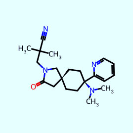 CN(C)[C@]1(c2ccccn2)CC[C@@]2(CC1)CC(=O)N(CC(C)(C)C#N)C2